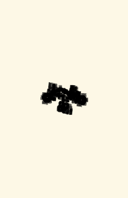 CCN1C(=CC#CC2N(CC)c3nc4ccccc4nc3N2CC)N(CC)c2nc3ccccc3nc21.[O-][Cl+3]([O-])([O-])O